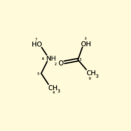 CC(=O)O.CCNO